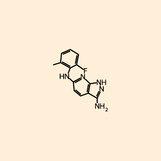 Cc1cccc(F)c1Nc1ccc2c(N)n[nH]c2n1